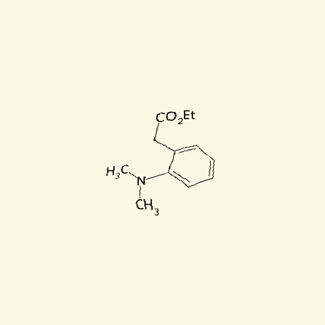 CCOC(=O)Cc1ccccc1N(C)C